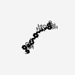 O=C(Nc1ccccc1-c1cccs1)OC1CCN(CCc2ccc(CCCCNC[C@H](O)c3ccc(O)c4[nH]c(=O)ccc34)cc2)CC1